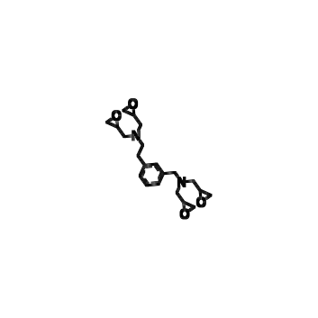 c1cc(CCN(CC2CO2)CC2CO2)cc(CN(CC2CO2)CC2CO2)c1